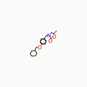 C[C@@H]1CN(Cc2ccc(OCC3CCCCC3)cc2)C(=O)O1